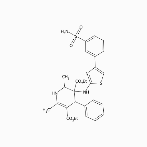 CCOC(=O)C1=C(C)NC(C)C(Nc2nc(-c3cccc(S(N)(=O)=O)c3)cs2)(C(=O)OCC)C1c1ccccc1